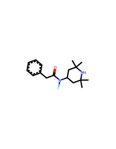 CC1(C)CC(N(F)C(=O)Cc2ccccc2)CC(C)(C)N1